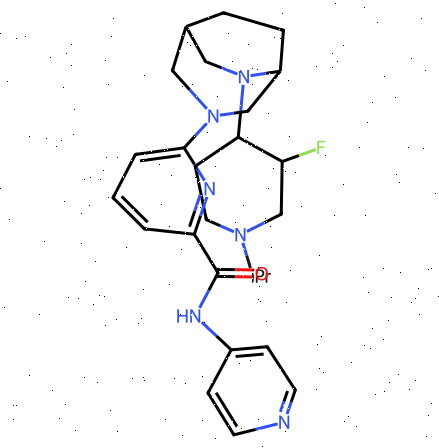 CC(C)N1CCC(N2CC3CCC2CN(c2cccc(C(=O)Nc4ccncc4)n2)C3)C(F)C1